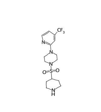 O=S(=O)(C1CCNCC1)N1CCN(c2cc(C(F)(F)F)ccn2)CC1